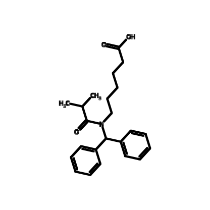 CC(C)C(=O)N(CCCCCC(=O)O)C(c1ccccc1)c1ccccc1